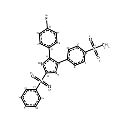 CS(=O)(=O)c1ccc(-c2sc(S(=O)(=O)c3ccccc3)nc2-c2ccc(F)cc2)cc1